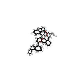 CC(C)(C)c1cc(-c2cccc3cccc(-c4ccccc4N(c4ccc(-c5cccc6c5ccc5ccccc56)cc4)c4cccc5oc6ccccc6c45)c23)cc(C(C)(C)C)c1